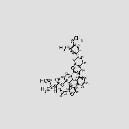 COc1ccc([C@H]2CC[C@H](CN(c3cc(-c4coc(C5CC5)n4)ccn3)C(=O)[C@H]3CC[C@H](OC(=O)NC(C)CO)CC3)CC2)nc1C